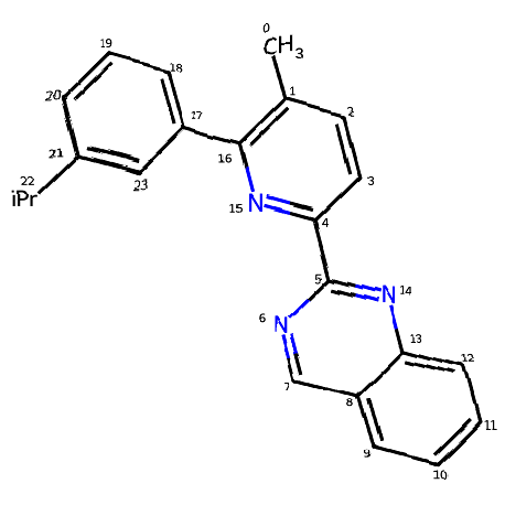 Cc1ccc(-c2ncc3ccccc3n2)nc1-c1cccc(C(C)C)c1